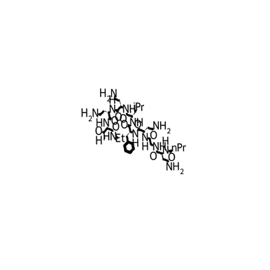 CCCC(=O)N[C@@H](CCN)C(=O)NCC(=O)N[C@@H](CCN)C(=O)N[C@H](Cc1ccccc1)C(=O)N[C@@H](CC(C)C)C(=O)N[C@@H](CCN)C(=O)N[C@@H](CCN)C(=O)N[C@H](C(=O)NCC)[C@@H](C)O